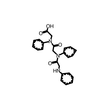 O=C(O)CN(C(=O)CN(C(=O)CNc1ccccc1)c1ccccc1)c1ccccc1